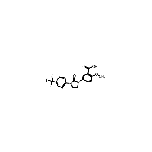 COc1ccc(N2CCN(c3ccc(C(F)(F)F)cc3)C2=O)cc1C(=O)O